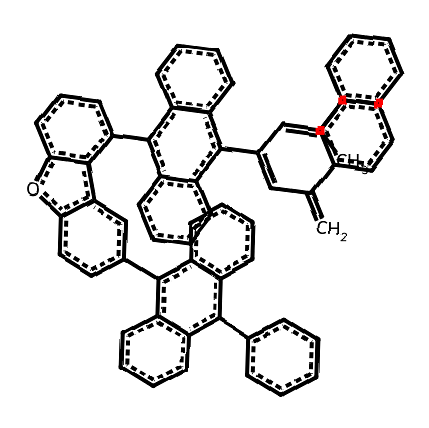 C=C(/C=C(\C=C(/C)c1ccccc1)c1c2ccccc2c(-c2cccc3oc4ccc(-c5c6ccccc6c(-c6ccccc6)c6ccccc56)cc4c23)c2ccccc12)c1ccccc1